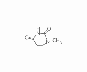 CN1CCC(=O)NC1=O